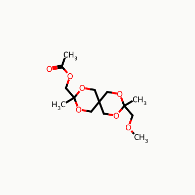 COCC1(C)OCC2(CO1)COC(C)(COC(C)=O)OC2